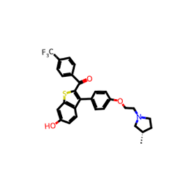 C[C@H]1CCN(CCOc2ccc(-c3c(C(=O)c4ccc(C(F)(F)F)cc4)sc4cc(O)ccc34)cc2)C1